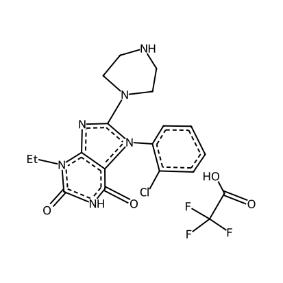 CCn1c(=O)[nH]c(=O)c2c1nc(N1CCNCC1)n2-c1ccccc1Cl.O=C(O)C(F)(F)F